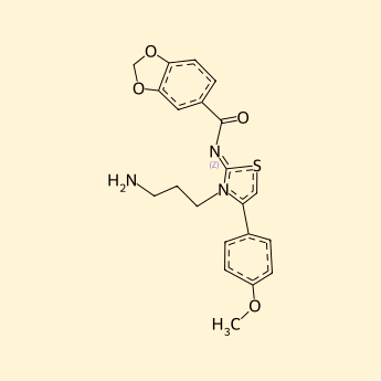 COc1ccc(-c2cs/c(=N\C(=O)c3ccc4c(c3)OCO4)n2CCCN)cc1